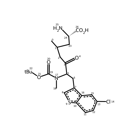 CC(CC(=O)C(Cc1csc2ccc(Cl)cc12)N(C)C(=O)OC(C)(C)C)C[C@H](N)C(=O)O